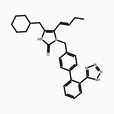 CCC=Cc1c(CC2CCCCC2)[nH]c(=O)n1Cc1ccc(-c2ccccc2-c2nnn[nH]2)cc1